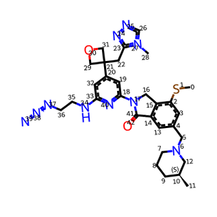 CSc1cc(CN2CCC[C@H](C)C2)cc2c1CN(c1cc(C3(Cc4nncn4C)COC3)cc(NCCN=[N+]=[N-])n1)C2=O